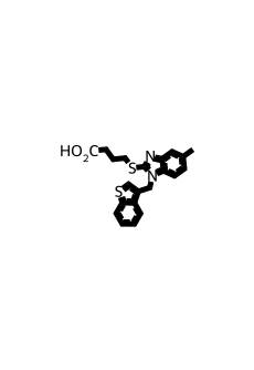 Cc1ccc2c(c1)nc(SCCCC(=O)O)n2Cc1csc2ccccc12